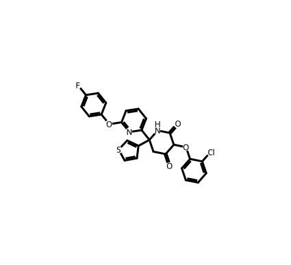 O=C1CC(c2ccsc2)(c2cccc(Oc3ccc(F)cc3)n2)NC(=O)C1Oc1ccccc1Cl